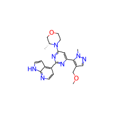 COCc1cnn(C)c1-c1cc(N2CCOC[C@H]2C)nc(-c2ccnc3[nH]ccc23)n1